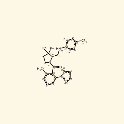 Cc1cccc(-n2nccn2)c1C(=O)N1CCC(F)(F)[C@H]1CNc1ncc(C(F)(F)F)cn1